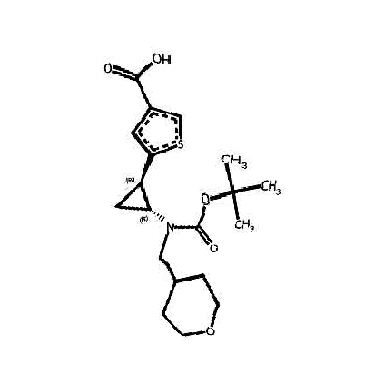 CC(C)(C)OC(=O)N(CC1CCOCC1)[C@@H]1C[C@H]1c1cc(C(=O)O)cs1